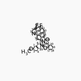 COc1ccc2c(c1)CCN(C(=O)[C@H](Cc1ccccc1)N(Cc1ccc(-c3ccccn3)cc1)C(=O)/C=C/c1ccc(C(F)(F)F)cc1)C2